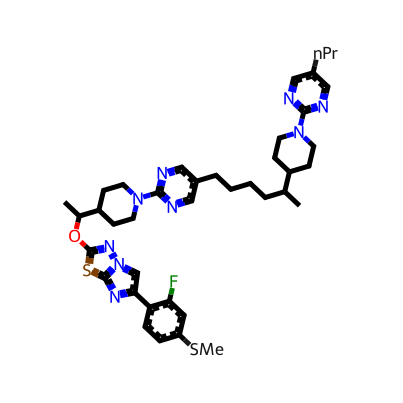 CCCc1cnc(N2CCC(C(C)CCCCc3cnc(N4CCC(C(C)Oc5nn6cc(-c7ccc(SC)cc7F)nc6s5)CC4)nc3)CC2)nc1